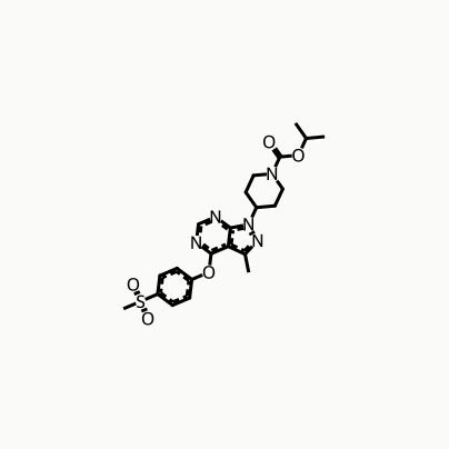 Cc1nn(C2CCN(C(=O)OC(C)C)CC2)c2ncnc(Oc3ccc(S(C)(=O)=O)cc3)c12